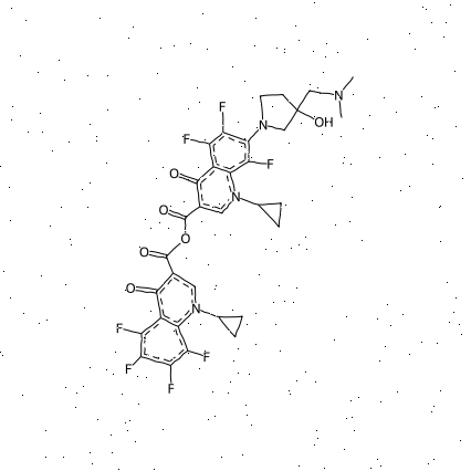 CN(C)CC1(O)CCN(c2c(F)c(F)c3c(=O)c(C(=O)OC(=O)c4cn(C5CC5)c5c(F)c(F)c(F)c(F)c5c4=O)cn(C4CC4)c3c2F)C1